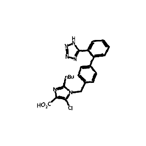 CCCCc1nc(C(=O)O)c(Cl)n1Cc1ccc(-c2ccccc2-c2nnn[nH]2)cc1